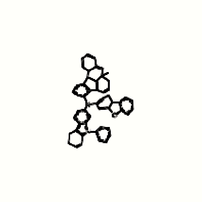 CC12C=C3C=CC=CC3C3C1=C(C=CC2)c1c3cccc1N(C1=CCC2C(=C1)Oc1ccccc12)c1ccc2c3c(n(-c4ccccc4)c2c1)C=CCC3